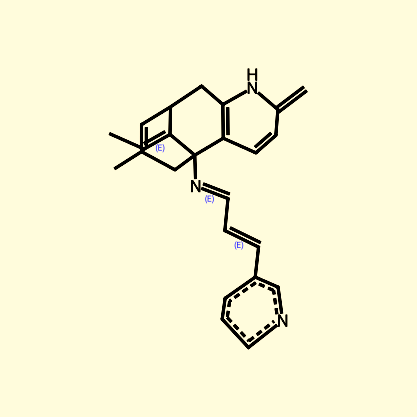 C=C1C=CC2=C(CC3C=C(C)CC2(/N=C/C=C/c2cccnc2)/C3=C/C)N1